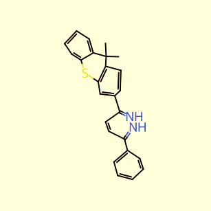 CC1(C)c2ccccc2Sc2cc(C(=N)/C=C\C(=N)c3ccccc3)ccc21